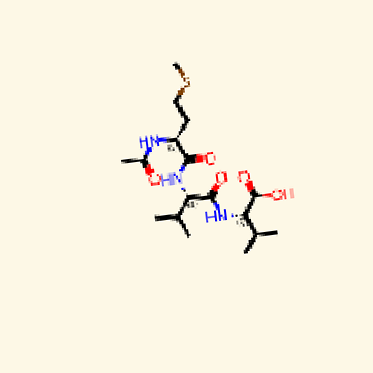 CSCC[C@H](NC(C)=O)C(=O)N[C@H](C(=O)N[C@H](C(=O)O)C(C)C)C(C)C